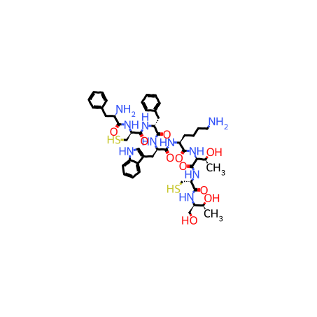 C[C@@H](O)[C@H](NC(=O)[C@H](CCCCN)NC(=O)[C@@H](Cc1c[nH]c2ccccc12)NC(=O)[C@@H](Cc1ccccc1)NC(=O)[C@@H](CS)NC(=O)[C@@H](N)Cc1ccccc1)C(=O)N[C@@H](CS)C(=O)N[C@H](CO)[C@@H](C)O